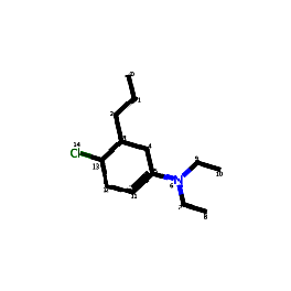 CCCC1CC(N(CC)CC)=CCC1Cl